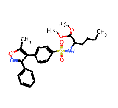 CCCCC(NS(=O)(=O)c1ccc(-c2c(-c3ccccc3)noc2C)cc1)C(OC)OC